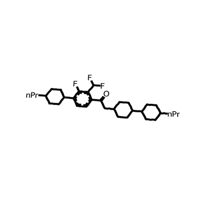 CCCC1CCC(c2ccc(C(=O)CC3CCC(C4CCC(CCC)CC4)CC3)c(C(F)F)c2F)CC1